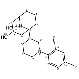 O=C(O)N1C2CCCC1(C1CCCN(c3ccc(F)cc3F)C1)CC(O)C2